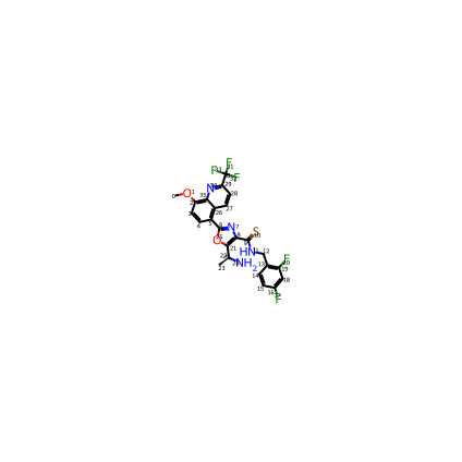 COc1ccc(-c2nc(C(=S)NCc3ccc(F)cc3F)c([C@H](C)N)o2)c2ccc(C(F)(F)F)nc12